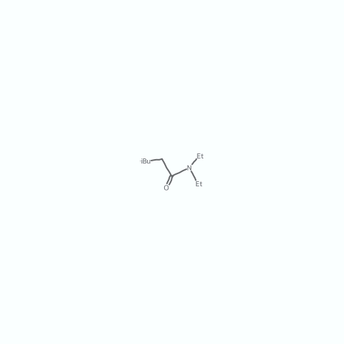 CC[C](C)CC(=O)N(CC)CC